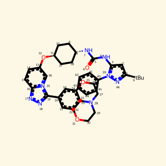 CC(C)(C)c1cc(NC(=O)N[C@H]2CC[C@H](Oc3ccc4nnc(-c5cccc(OCCN6CCOCC6)c5)n4c3)CC2)n(-c2ccccc2)n1